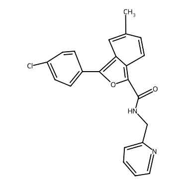 Cc1ccc2c(C(=O)NCc3ccccn3)oc(-c3ccc(Cl)cc3)c2c1